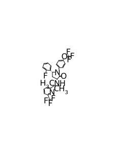 CC(C)(N[C@@H]1C[C@H](c2ccccc2F)N(c2ccc(OC(F)(F)F)cc2)C1=O)c1cccc(C(F)(F)F)n1